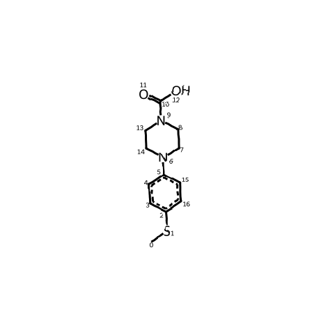 CSc1ccc(N2CCN(C(=O)O)CC2)cc1